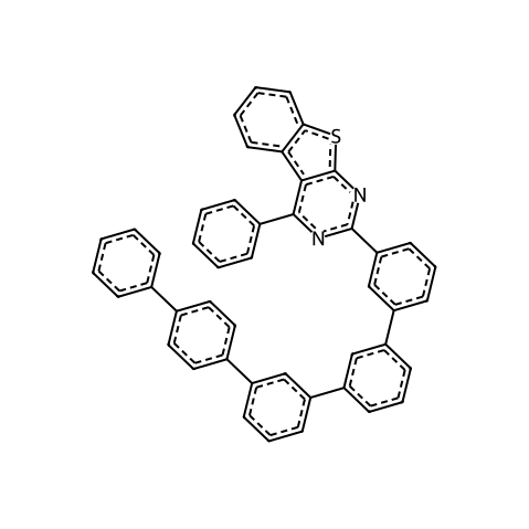 c1ccc(-c2ccc(-c3cccc(-c4cccc(-c5cccc(-c6nc(-c7ccccc7)c7c(n6)sc6ccccc67)c5)c4)c3)cc2)cc1